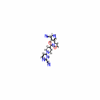 N#Cc1cncc(C2CCON2C(=O)C2CCN(c3ccnc(C#N)n3)CC2)c1